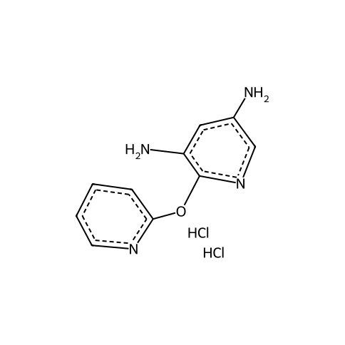 Cl.Cl.Nc1cnc(Oc2ccccn2)c(N)c1